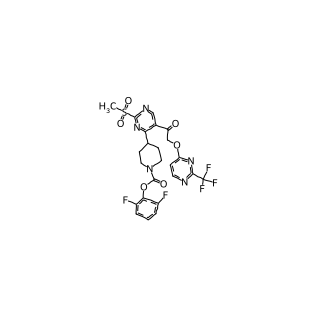 CS(=O)(=O)c1ncc(C(=O)COc2ccnc(C(F)(F)F)n2)c(C2CCN(C(=O)Oc3c(F)cccc3F)CC2)n1